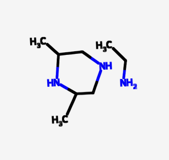 CC1CNCC(C)N1.CCN